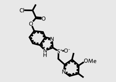 COc1c(C)cnc(C[S+]([O-])c2nc3cc(OC(=O)C(C)Cl)ccc3[nH]2)c1C